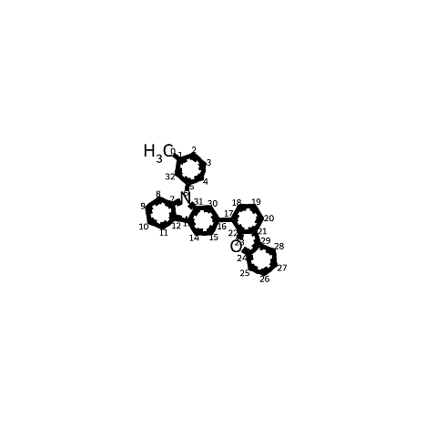 Cc1cccc(-n2c3ccccc3c3ccc(-c4cccc5c4oc4ccccc45)cc32)c1